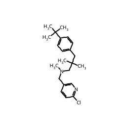 CN(Cc1ccc(Cl)nc1)CC(C)(C)Cc1ccc(C(C)(C)C)cc1